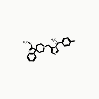 COC(=O)C1(c2ccccc2)CCN(Cc2cncn2[C@H](C)c2ccc(F)cc2)CC1